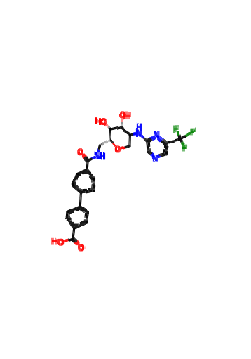 O=C(O)c1ccc(-c2ccc(C(=O)NC[C@H]3OC[C@H](Nc4cncc(C(F)(F)F)n4)[C@@H](O)[C@H]3O)cc2)cc1